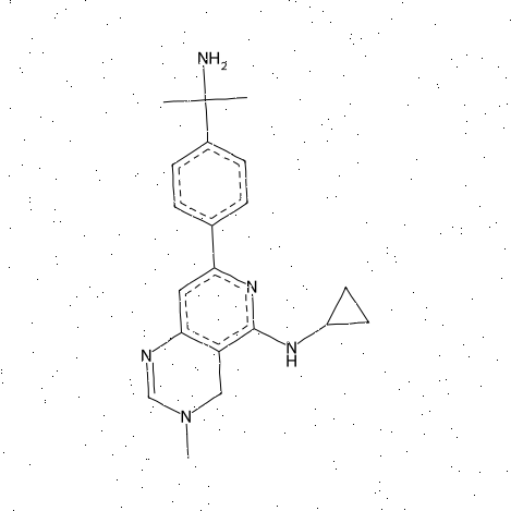 CN1C=Nc2cc(-c3ccc(C(C)(C)N)cc3)nc(NC3CC3)c2C1